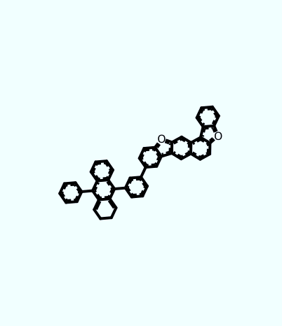 C1=c2c(-c3ccccc3)c3ccccc3c(-c3cccc(-c4ccc5oc6cc7c(ccc8oc9ccccc9c87)cc6c5c4)c3)c2=CCC1